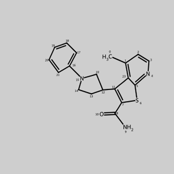 Cc1ccnc2sc(C(N)=O)c(C3CCN(c4ccccc4)C3)c12